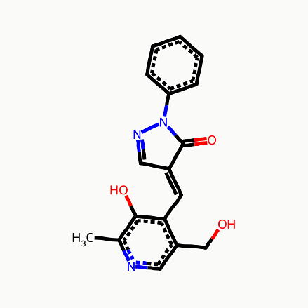 Cc1ncc(CO)c(C=C2C=NN(c3ccccc3)C2=O)c1O